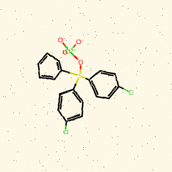 [O-][Cl+3]([O-])([O-])OS(c1ccccc1)(c1ccc(Cl)cc1)c1ccc(Cl)cc1